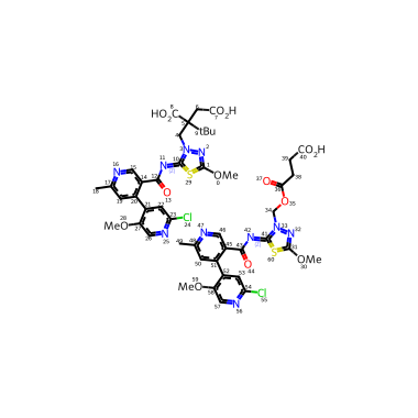 COc1nn(CC(CC(=O)O)(C(=O)O)C(C)(C)C)/c(=N/C(=O)c2cnc(C)cc2-c2cc(Cl)ncc2OC)s1.COc1nn(COC(=O)CCC(=O)O)/c(=N/C(=O)c2cnc(C)cc2-c2cc(Cl)ncc2OC)s1